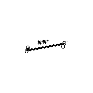 C[N+](C)(C)C.C[N+](C)(C)C.O=C([O-])CCCCCCCCCCCCCCCCCCC(=O)[O-]